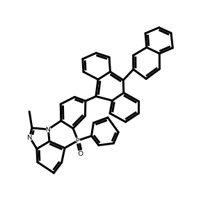 Cc1nc2cccc3c2n1-c1ccc(-c2c4ccccc4c(-c4ccc5ccccc5c4)c4ccccc24)cc1P3(=O)c1ccccc1